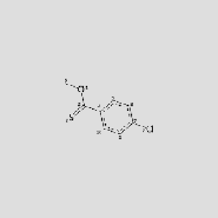 COC(=S)c1ccc(Cl)cc1